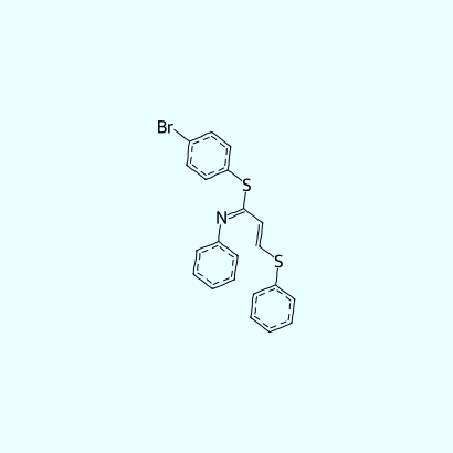 Brc1ccc(SC(C=CSc2ccccc2)=Nc2ccccc2)cc1